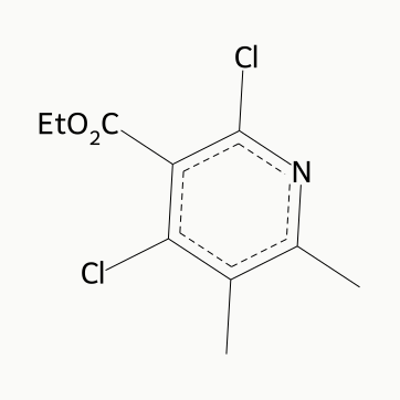 CCOC(=O)c1c(Cl)nc(C)c(C)c1Cl